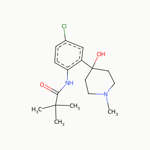 CN1CCC(O)(c2cc(Cl)ccc2NC(=O)C(C)(C)C)CC1